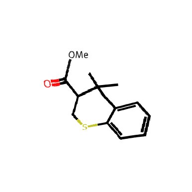 COC(=O)C1CSc2ccccc2C1(C)C